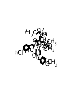 CC[C@H](C)Nc1cc(C(=O)NC(Cc2ccccc2)C(O)[C@@H]2NCCN(Cc3ccc(OC)cc3)C2=O)cc(N(C)S(C)(=O)=O)n1.Cl